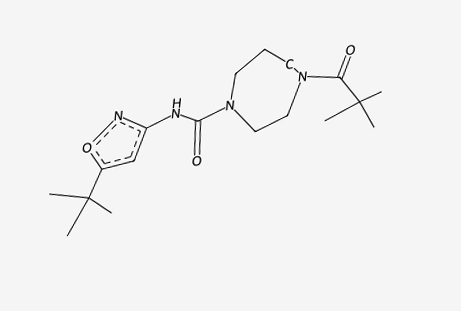 CC(C)(C)C(=O)N1CCCN(C(=O)Nc2cc(C(C)(C)C)on2)CC1